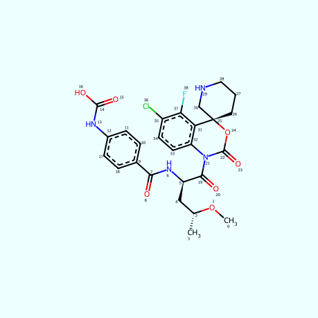 CO[C@H](C)C[C@@H](NC(=O)c1ccc(NC(=O)O)cc1)C(=O)N1C(=O)O[C@]2(CCCNC2)c2c1ccc(Cl)c2F